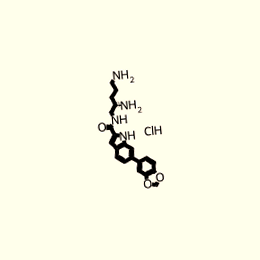 Cl.NCCC[C@H](N)CNC(=O)c1cc2ccc(-c3ccc4c(c3)OCO4)cc2[nH]1